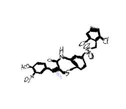 CC(=O)Oc1ccc(/C=C2/Sc3ccc(S(=O)(=O)Cc4c(Cl)cccc4Cl)cc3NC2=O)cc1[N+](=O)[O-]